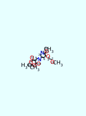 COCCOc1cc(N=CC2C(=O)OC(C)(C)OC2=O)cnc1OC